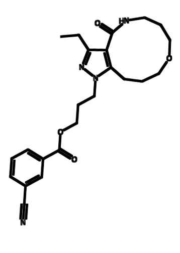 CCc1nn(CCCOC(=O)c2cccc(C#N)c2)c2c1C(=O)NCCCOCCC2